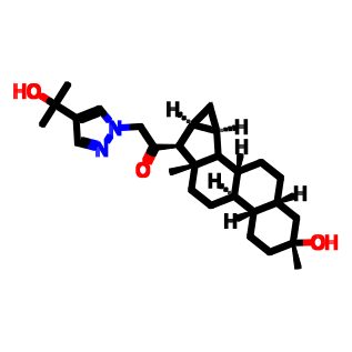 CC(C)(O)c1cnn(CC(=O)[C@H]2[C@H]3C[C@H]3C3[C@@H]4CC[C@@H]5C[C@](C)(O)CC[C@@H]5[C@H]4CC[C@@]32C)c1